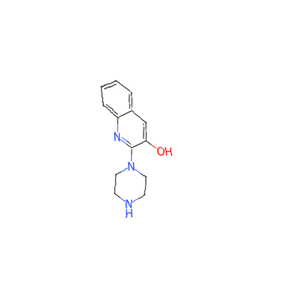 Oc1cc2ccccc2nc1N1CCNCC1